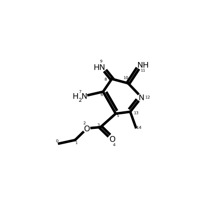 CCOC(=O)C1=C(N)C(=N)C(=N)N=C1C